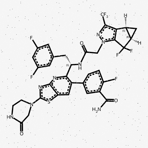 NC(=O)c1cc(-c2cc3sc(N4CCNC(=O)C4)nc3nc2[C@H](Cc2cc(F)cc(F)c2)NC(=O)Cn2nc(C(F)(F)F)c3c2C(F)(F)[C@@H]2C[C@H]32)ccc1F